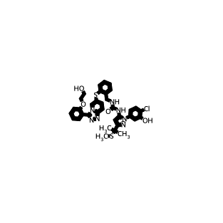 CSC(C)(C)c1cc(NC(=O)NCc2ccccc2Sc2ccc3nnc(-c4ccccc4OCCO)n3c2)n(-c2ccc(Cl)c(O)c2)n1